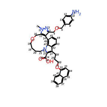 Cn1nc(COCc2ccc(N)cc2)c2c1COCCCCn1c(C(=O)O)c(CCCOc3cccc4ccccc34)c3cccc-2c31